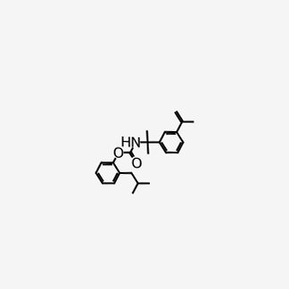 C=C(C)c1cccc(C(C)(C)NC(=O)Oc2ccccc2CC(C)C)c1